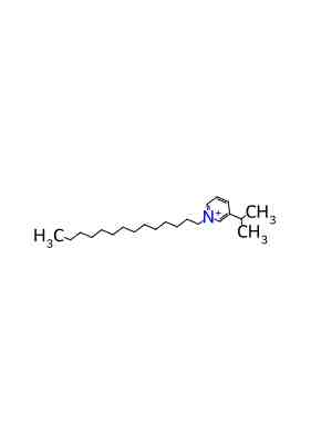 CCCCCCCCCCCCCC[n+]1cccc(C(C)C)c1